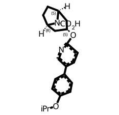 CC(C)Oc1ccc(-c2ccc(O[C@@H]3C[C@H]4CC[C@@H](C3)N4C(=O)O)nc2)cc1